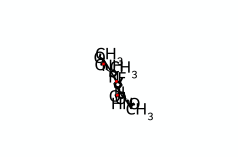 COCC(=O)NC[C@@H]1CN(c2ccc(N3C[C@H](CNC(C)=O)OC3=O)cc2F)C[C@H]1C